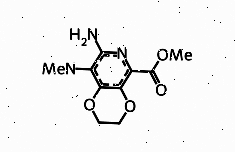 CNc1c(N)nc(C(=O)OC)c2c1OCCO2